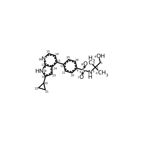 CC(C)(CO)NS(=O)(=O)c1ccc(-c2ccnc3[nH]c(C4CC4)cc23)cc1